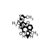 Cc1cccc(-c2sc(C)nc2C(=O)N2[C@H](CNC(=O)c3cnc4scc(C)n34)C[C@@H]3C[C@@H]32)c1